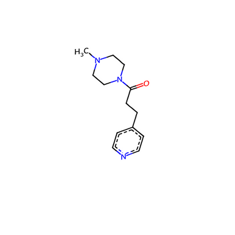 CN1CCN(C(=O)CCc2ccncc2)CC1